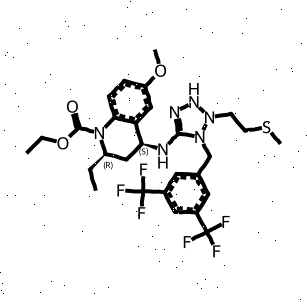 CCOC(=O)N1c2ccc(OC)cc2[C@@H](NC2=NNN(CCSC)N2Cc2cc(C(F)(F)F)cc(C(F)(F)F)c2)C[C@H]1CC